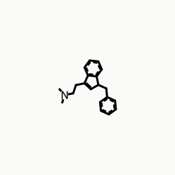 CN(C)CCC1=CC(Cc2ccccc2)c2ccccc21